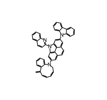 C=C1/C=C\C=C/CN(c2cc3ccc4cc(-n5c6ccccc6c6ccccc65)cc5c4c3c(c2)n5-c2ccc3ccccc3n2)c2ccccc21